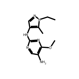 CCn1ncc(Nc2ncc(N)c(OC)n2)c1C